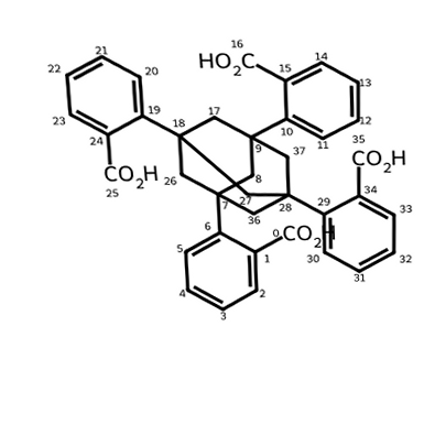 O=C(O)c1ccccc1C12CC3(c4ccccc4C(=O)O)CC(c4ccccc4C(=O)O)(C1)CC(c1ccccc1C(=O)O)(C2)C3